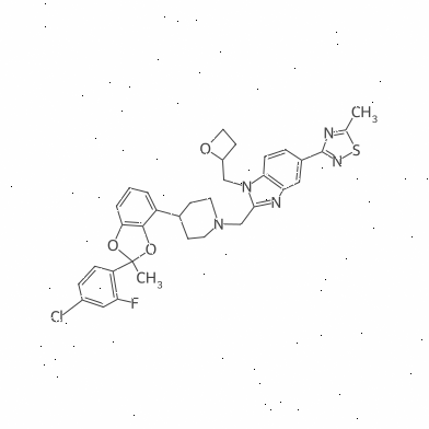 Cc1nc(-c2ccc3c(c2)nc(CN2CCC(c4cccc5c4OC(C)(c4ccc(Cl)cc4F)O5)CC2)n3CC2CCO2)ns1